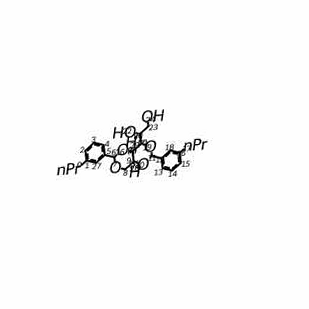 CCCc1cccc(C2OC[C@@H]3OC(c4cccc(CCC)c4)O[C@H]([C@H](O)CO)[C@@H]3O2)c1